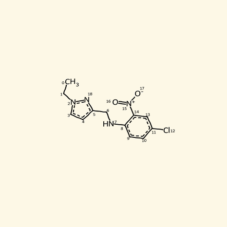 CCn1ccc(CNc2ccc(Cl)cc2[N+](=O)[O-])n1